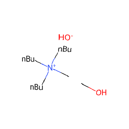 CCCC[N+](C)(CCCC)CCCC.CO.[OH-]